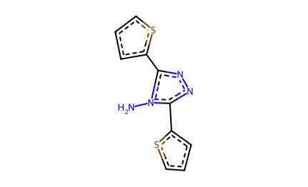 Nn1c(-c2cccs2)nnc1-c1cccs1